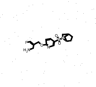 NC/C(=C\F)COc1ccc(S(=O)(=O)N2CC3CCC2C3)cn1